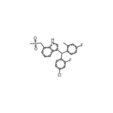 Cc1cc(F)ccc1C(c1ccc(Cl)cc1F)c1c[nH]c2c(CS(C)(=O)=O)cccc12